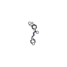 CC[C@@H]1CCCN(C(=O)/C=C/CN2CCOCC2)C1